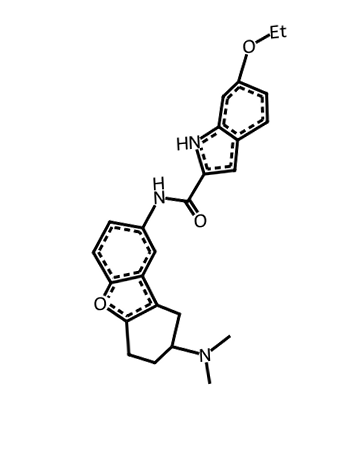 CCOc1ccc2cc(C(=O)Nc3ccc4oc5c(c4c3)CC(N(C)C)CC5)[nH]c2c1